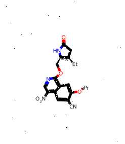 CC[C@@H]1CC(=O)N[C@@H]1COc1ncc([N+](=O)[O-])c2cc(C#N)c(OC(C)C)cc12